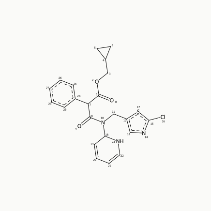 O=C(OCC1CC1)C(C(=O)N(Cc1cnc(Cl)s1)C1C=CC=CN1)c1ccccc1